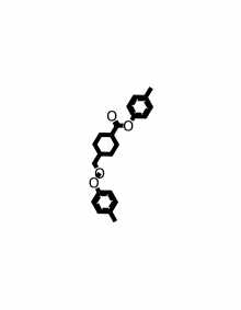 Cc1ccc(OOCC2CCC(C(=O)Oc3ccc(C)cc3)CC2)cc1